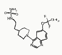 CC(F)(F)Oc1ccc2ncnc(N3CCC(CCNS(N)(=O)=O)CC3)c2c1